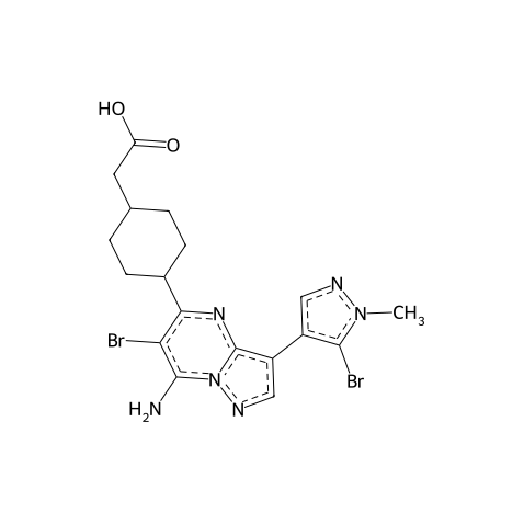 Cn1ncc(-c2cnn3c(N)c(Br)c(C4CCC(CC(=O)O)CC4)nc23)c1Br